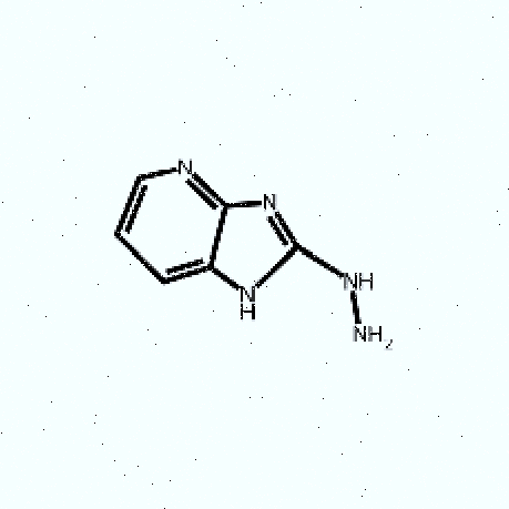 NNc1nc2ncccc2[nH]1